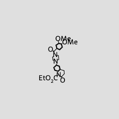 CCOC(=O)N1C(=O)CCc2cc(N3CCN(C(=O)c4ccc(OC)c(OC)c4)CC3)ccc21